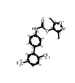 Cc1noc(C)c1OC(=O)Nc1ccc(-c2cc(C(F)(F)F)ccc2C(F)(F)F)cc1